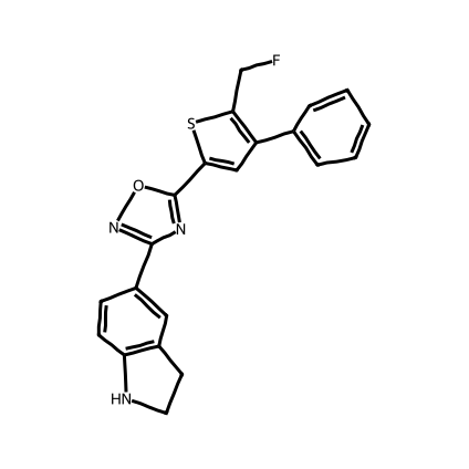 FCc1sc(-c2nc(-c3ccc4c(c3)CCN4)no2)cc1-c1ccccc1